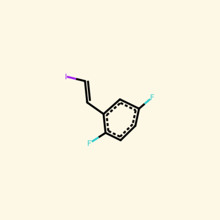 Fc1ccc(F)c(/C=C/I)c1